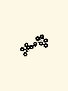 c1ccc(-c2ccc(N(c3ccc(-c4ccc5c(c4)c4ccccc4c4c(-c6ccccc6)c(-c6ccccc6)oc54)cc3)c3cccc4c3sc3c(-c5ccccc5)cccc34)cc2)cc1